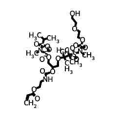 C=CC(=O)OCCNC(=O)OC(COC(C)(C)C(C)(C)S(=O)(=O)N(C)S(=O)(=O)OCCOCCO)COS(=O)(=O)N(C)S(=O)(=O)C(C)C